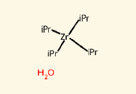 C[CH](C)[Zr]([CH](C)C)([CH](C)C)[CH](C)C.O